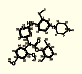 CCc1cc(N2CCN(C)CC2)ccc1Nc1nccc(N(C(=O)Oc2c(C)cccc2C)c2ccc(OC)cc2OC)n1